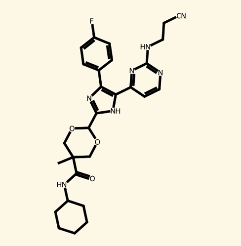 CC1(C(=O)NC2CCCCC2)COC(c2nc(-c3ccc(F)cc3)c(-c3ccnc(NCCC#N)n3)[nH]2)OC1